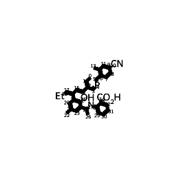 C/C=C(\C=P/Cc1ccc(C#N)cc1C)C1=C/C(=C/CC)c2cc(C)cc(C(C)Nc3ccccc3C(=O)O)c2O1